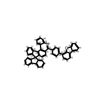 c1ccc2c(c1)-c1ccccc1C21c2ccccc2-c2c1ccc1c(-c3ccc(-c4cccc5c4oc4ccccc45)cc3)nc3ccccc3c21